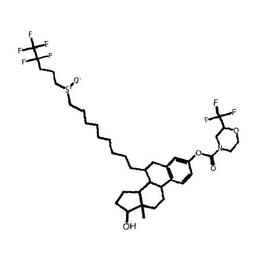 CC12CCC3c4ccc(OC(=O)N5CCOC(C(F)(F)F)C5)cc4CC(CCCCCCCCC[S+]([O-])CCCC(F)(F)C(F)(F)F)C3C1CCC2O